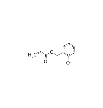 C=CC(=O)OCc1ccccc1[O]